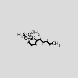 CCCCCC1CCC[Si](OC)(OC)O1